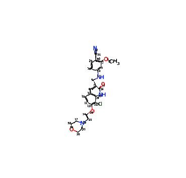 COc1cc(NCc2cc3ccc(OCCN4CCOCC4)c(Cl)c3[nH]c2=O)ccc1C#N